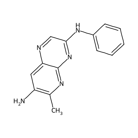 Cc1nc2nc(Nc3ccccc3)cnc2cc1N